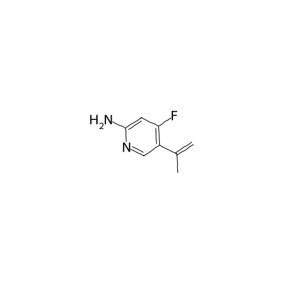 C=C(C)c1cnc(N)cc1F